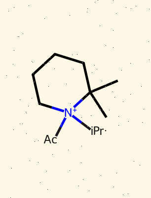 C[C](C)[N+]1(C(C)=O)CCCCC1(C)C